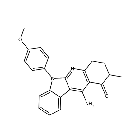 COc1ccc(-n2c3ccccc3c3c(N)c4c(nc32)CCC(C)C4=O)cc1